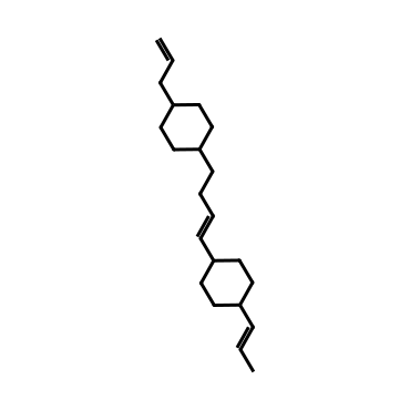 C=CCC1CCC(CCC=CC2CCC(C=CC)CC2)CC1